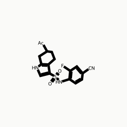 CC(=O)C1CCc2c(S(=O)(=O)Nc3ccc(C#N)cc3F)c[nH]c2C1